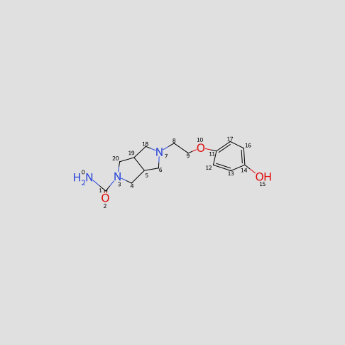 NC(=O)N1CC2CN(CCOc3ccc(O)cc3)CC2C1